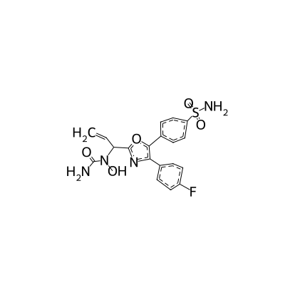 C=CC(c1nc(-c2ccc(F)cc2)c(-c2ccc(S(N)(=O)=O)cc2)o1)N(O)C(N)=O